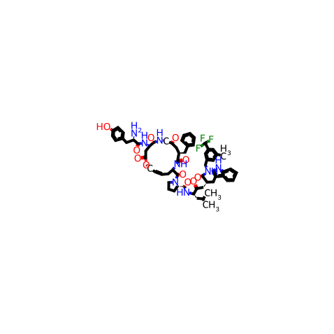 Cc1cc(CNC(=O)[C@@H](CC(=O)[C@H](CC(C)C)NC(=O)[C@@H]2CCCN2C(=O)C2CC=CCOC(=O)C[C@@H](NC(=O)[C@@H](N)Cc3ccc(O)cc3)C(=O)NCC(=O)C[C@@H](Cc3ccccc3)C(=O)N2)Cc2c[nH]c3ccccc23)cc(C(F)(F)F)c1